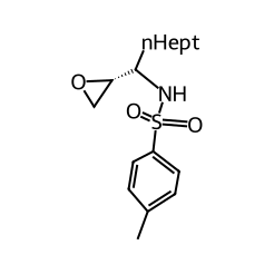 CCCCCCCC(NS(=O)(=O)c1ccc(C)cc1)[C@@H]1CO1